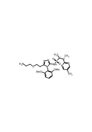 COc1cccc(OC)c1-n1c(CCOCCN)nnc1NS(=O)(=O)[C@@H](C)[C@H](C)c1ncc(C)cn1